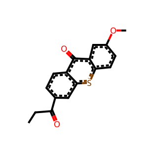 CCC(=O)c1ccc2c(=O)c3cc(OC)ccc3sc2c1